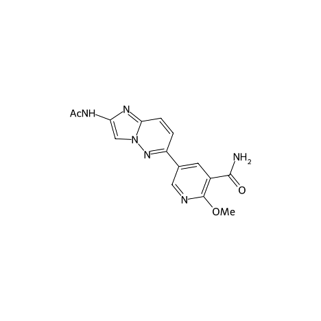 COc1ncc(-c2ccc3nc(NC(C)=O)cn3n2)cc1C(N)=O